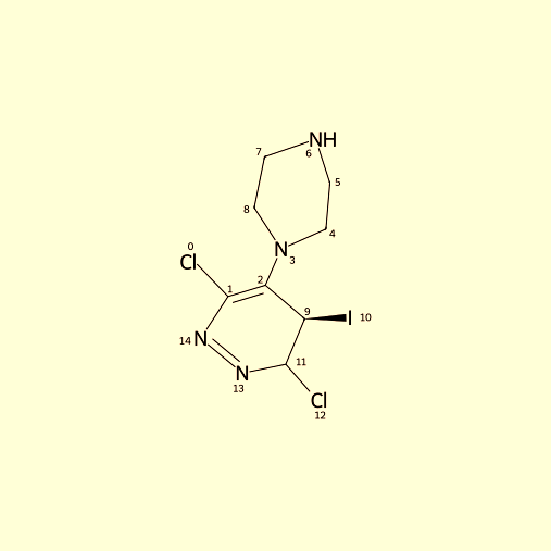 ClC1=C(N2CCNCC2)[C@@H](I)C(Cl)N=N1